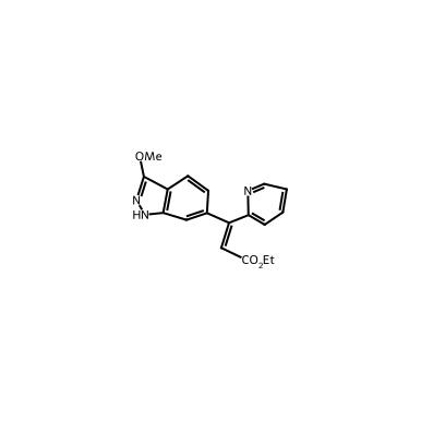 CCOC(=O)C=C(c1ccc2c(OC)n[nH]c2c1)c1ccccn1